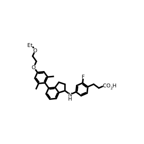 CCOCCOc1cc(C)c(-c2cccc3c2CCC3Nc2ccc(CCC(=O)O)c(F)c2)c(C)c1